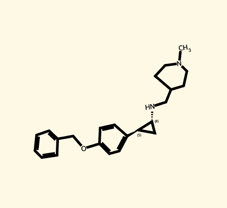 CN1CCC(CN[C@@H]2C[C@H]2c2ccc(OCc3ccccc3)cc2)CC1